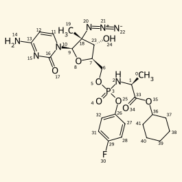 C[C@H](NP(=O)(OC[C@H]1O[C@@H](n2ccc(N)nc2=O)[C@](C)(N=[N+]=[N-])[C@@H]1O)Oc1ccc(F)cc1)C(=O)OC1CCCCC1